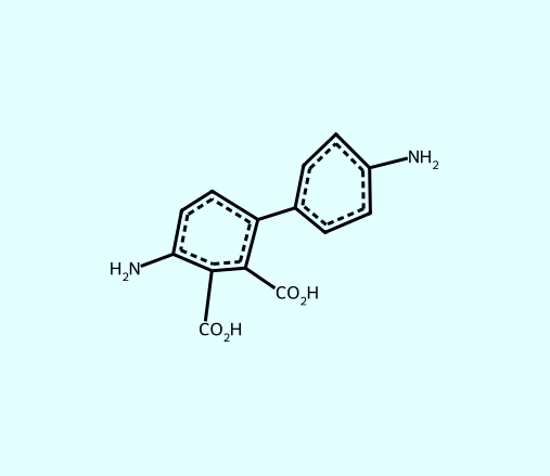 Nc1ccc(-c2ccc(N)c(C(=O)O)c2C(=O)O)cc1